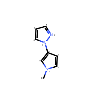 Cn1ccc(-n2cccn2)c1